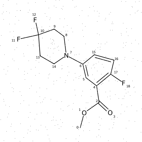 COC(=O)c1cc(N2CCC(F)(F)CC2)ccc1F